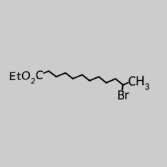 CCOC(=O)CCCCCCCCCC(C)Br